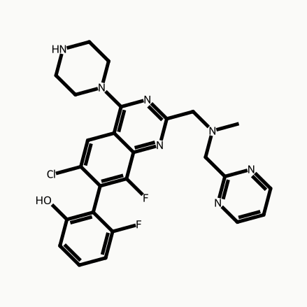 CN(Cc1ncccn1)Cc1nc(N2CCNCC2)c2cc(Cl)c(-c3c(O)cccc3F)c(F)c2n1